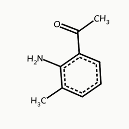 CC(=O)c1cccc(C)c1N